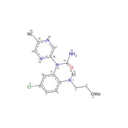 CCN(CCOC)c1ccc(Cl)cc1N(C(N)=O)c1cnc(C#N)cn1